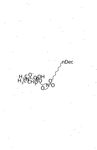 CCCCCCCCCCCCCCCCCCOC(=O)N1CCOC(COP(=O)(O)OCC([O-])[N+](C)(C)C)C1